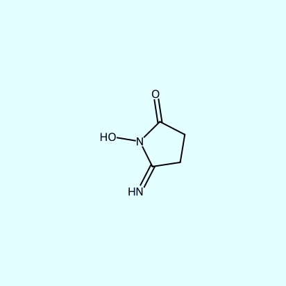 N=C1CCC(=O)N1O